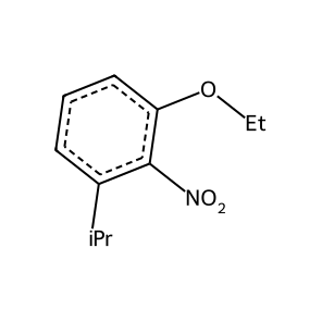 [CH2]C(C)c1cccc(OCC)c1[N+](=O)[O-]